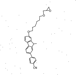 CC1c2cc(OCCCCCCOCC3CO3)ccc2-c2ccc(-c3ccc(C#N)cc3)cc21